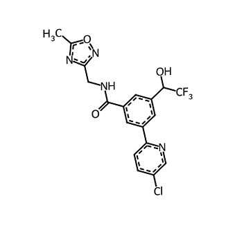 Cc1nc(CNC(=O)c2cc(-c3ccc(Cl)cn3)cc(C(O)C(F)(F)F)c2)no1